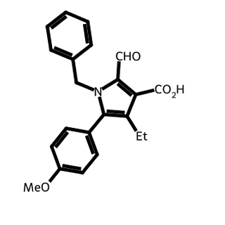 CCc1c(C(=O)O)c(C=O)n(Cc2ccccc2)c1-c1ccc(OC)cc1